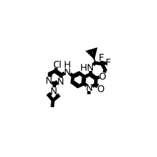 CC1CN(c2ncc(Cl)c(Nc3ccc4c(c3)c3c(c(=O)n4C)OCC(F)(F)[C@H](C4CC4)N3)n2)C1